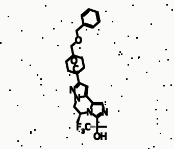 C[C@H]1Cn2nc(C34CCC(COCc5ccccc5)(CC3)OC4)cc2-c2cnc([C@@](C)(O)C(F)(F)F)n21